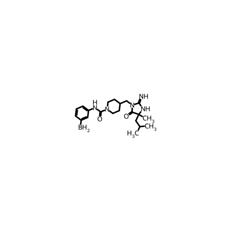 Bc1cccc(NC(=O)N2CCC(CN3C(=N)NC(C)(CC(C)C)C3=O)CC2)c1